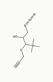 C#CCOC(C(O)CN=[N+]=[N-])[Si](C)(C)C